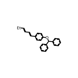 CCC=CC=Cc1ccc(OC(c2ccccc2)c2ccccc2)cc1